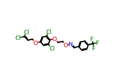 FC(F)(F)c1ccc(C=NOCCOc2c(Cl)cc(OCC=C(Cl)Cl)cc2Cl)cc1